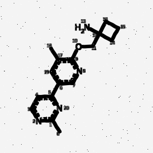 Cc1nccc(-c2cnc(OCC3(N)CCC3)c(C)c2)n1